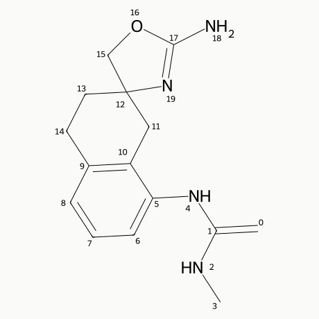 C=C(NC)Nc1cccc2c1CC1(CC2)COC(N)=N1